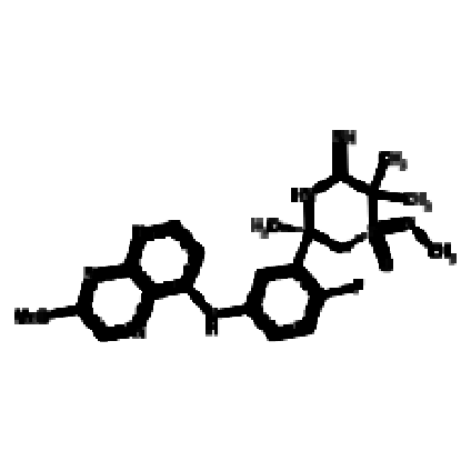 CN=[S@]1(=O)C[C@@](C)(c2cc(Nc3ccnc4nc(OC)cnc34)ccc2F)NC(=N)C1(C)C